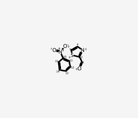 O=Cc1nccs1.O=[N+]([O-])c1ccccc1